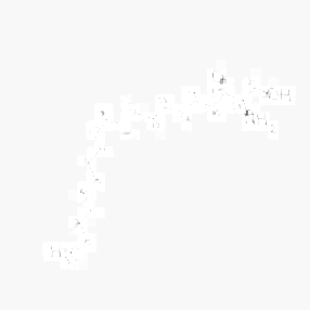 CCCCCCCC/C=C\CCCCCCCC(=O)C(N)CO